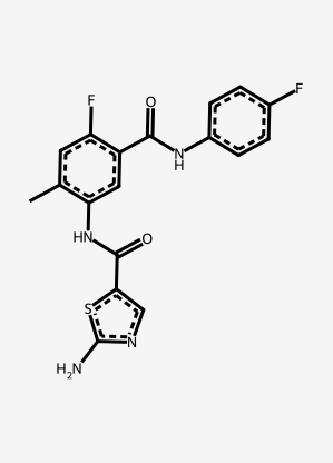 Cc1cc(F)c(C(=O)Nc2ccc(F)cc2)cc1NC(=O)c1cnc(N)s1